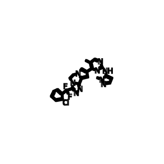 Cc1cnc(Nc2ccnn2C)nc1-c1cc2n(c1)CCn1c-2nnc1C(F)(F)c1ccccc1Cl